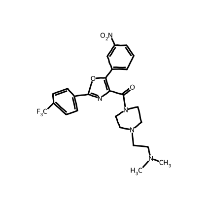 CN(C)CCN1CCN(C(=O)c2nc(-c3ccc(C(F)(F)F)cc3)oc2-c2cccc([N+](=O)[O-])c2)CC1